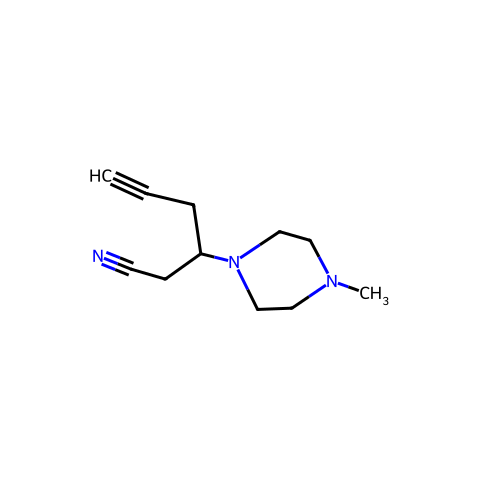 C#CCC(CC#N)N1CCN(C)CC1